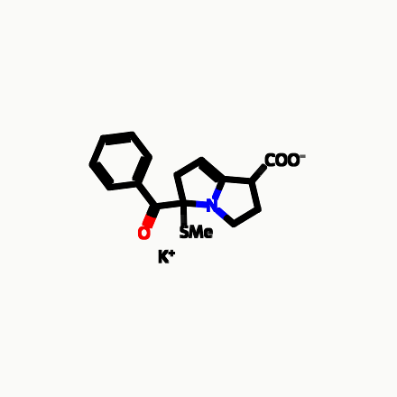 CSC1(C(=O)c2ccccc2)CC=C2C(C(=O)[O-])CCN21.[K+]